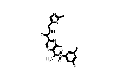 Cc1ncc(CNC(=O)c2cnc(C(N)S(=O)(=O)c3cc(F)cc(F)c3)c(C)n2)s1